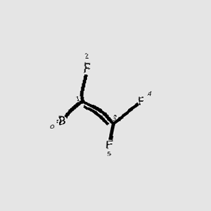 [B]C(F)=C(F)F